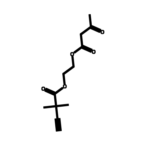 C#CC(C)(C)C(=O)OCCOC(=O)CC(C)=O